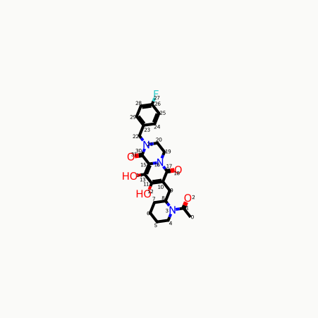 CC(=O)N1CCCCC1Cc1c(O)c(O)c2n(c1=O)CCN(Cc1ccc(F)cc1)C2=O